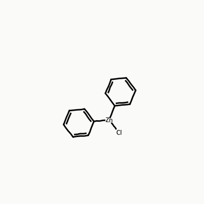 [Cl][Zn]([c]1ccccc1)[c]1ccccc1